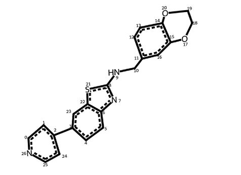 c1cc(-c2ccc3nc(NCc4ccc5c(c4)OCCO5)sc3c2)ccn1